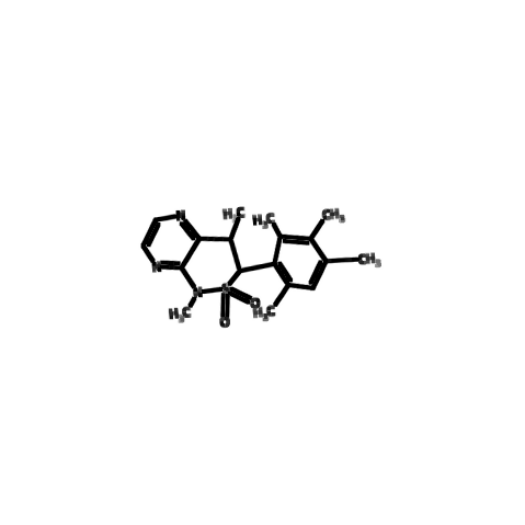 Cc1cc(C)c(C2C(C)c3nccnc3N(C)S2(=O)=O)c(C)c1C